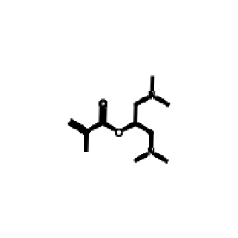 C=C(C)C(=O)OC(CN(C)C)CN(C)C